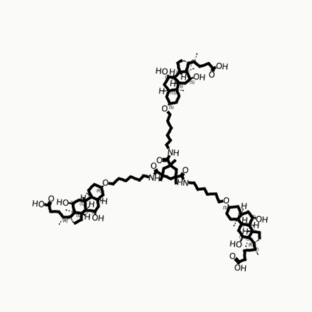 C[C@H](CCC(=O)O)[C@H]1CC[C@H]2[C@@H]3[C@H](O)C[C@@H]4C[C@H](OCCCCCCNC(=O)C5(C)CC(C)(C(=O)NCCCCCCO[C@H]6CC[C@@]7(C)[C@@H](C6)C[C@@H](O)[C@@H]6[C@@H]7C[C@H](O)[C@]7(C)[C@@H]([C@H](C)CCC(=O)O)CC[C@@H]67)CC(C)(C(=O)NCCCCCCO[C@H]6CC[C@@]7(C)[C@@H](C6)C[C@@H](O)[C@@H]6[C@@H]7C[C@H](O)[C@]7(C)[C@@H]([C@H](C)CCC(=O)O)CC[C@@H]67)C5)CC[C@]4(C)[C@H]3C[C@H](O)[C@]12C